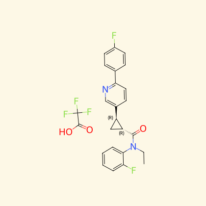 CCN(C(=O)[C@@H]1C[C@H]1c1ccc(-c2ccc(F)cc2)nc1)c1ccccc1F.O=C(O)C(F)(F)F